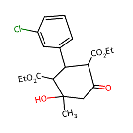 CCOC(=O)C1C(=O)CC(C)(O)C(C(=O)OCC)C1c1cccc(Cl)c1